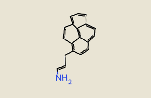 NC=CCc1ccc2ccc3cccc4ccc1c2c34